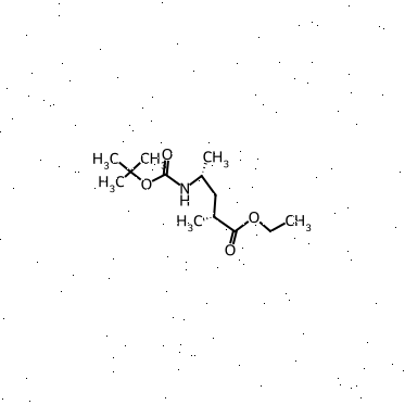 CCOC(=O)[C@H](C)C[C@@H](C)NC(=O)OC(C)(C)C